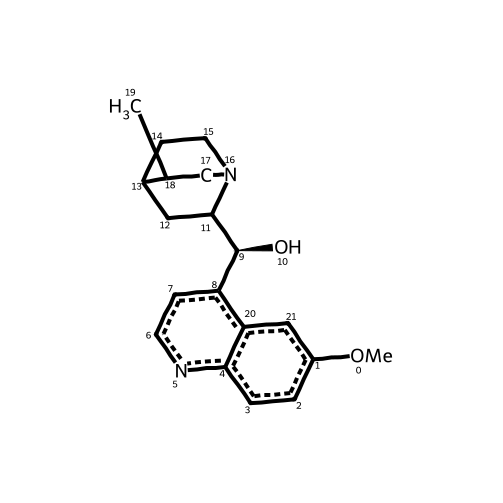 COc1ccc2nccc([C@H](O)C3CC4CCN3CC4C)c2c1